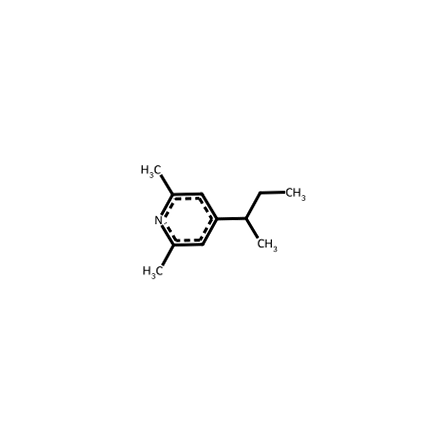 CCC(C)c1cc(C)nc(C)c1